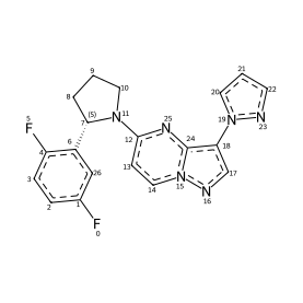 Fc1ccc(F)c([C@@H]2CCCN2c2ccn3ncc(-n4cccn4)c3n2)c1